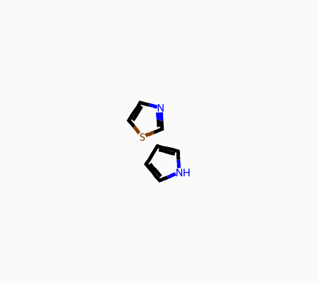 c1cc[nH]c1.c1cscn1